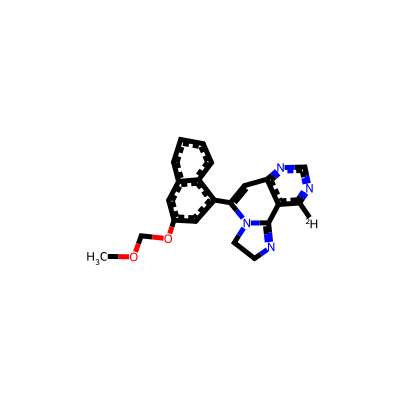 [2H]c1ncnc2c1C1=NCCN1C(c1cc(OCOC)cc3ccccc13)=C2